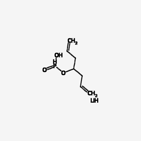 C=CCC(CC=C)O[PH](=O)O.[LiH]